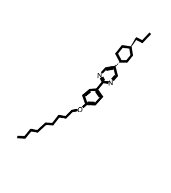 CCCCCCCCCOc1ccc(-c2ncc([C@H]3CC[C@H](CCC)CC3)cn2)cc1